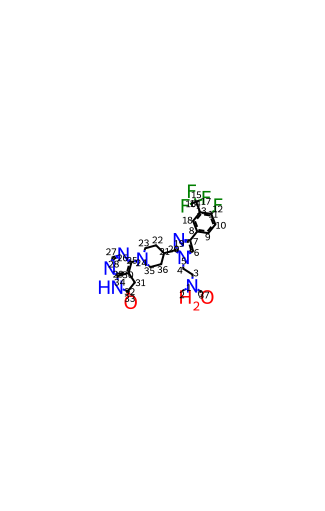 CN(C)CCn1cc(-c2ccc(F)c(C(F)(F)F)c2)nc1C1CCN(c2ncnc3c2CC(=O)N3)CC1.O